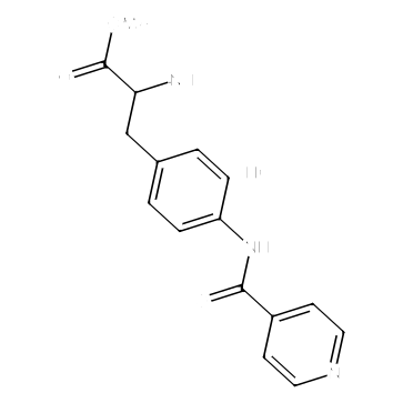 COC(=O)C(N)Cc1ccc(NC(=O)c2ccncc2)cc1.Cl